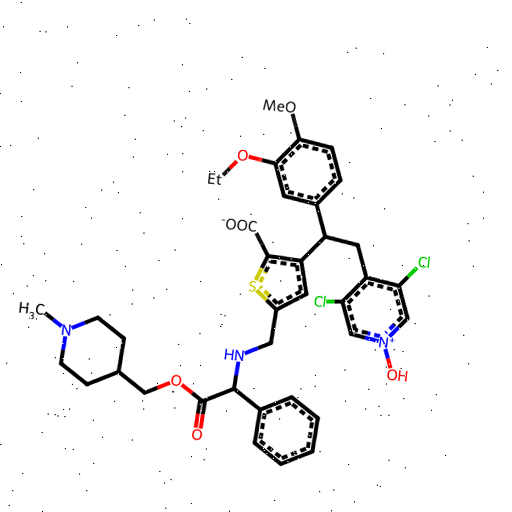 CCOc1cc(C(Cc2c(Cl)c[n+](O)cc2Cl)c2cc(CNC(C(=O)OCC3CCN(C)CC3)c3ccccc3)sc2C(=O)[O-])ccc1OC